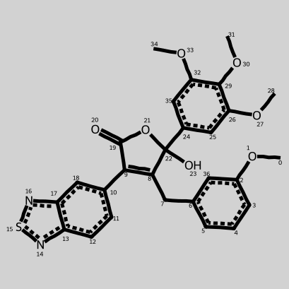 COc1cccc(CC2=C(c3ccc4nsnc4c3)C(=O)OC2(O)c2cc(OC)c(OC)c(OC)c2)c1